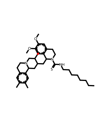 CCCCCCCCNC(=S)N1CCc2cc(OC)c(OC)cc2C1CC1CC2c3cc(C)c(C)cc3CCN2CC1CC